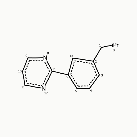 CC(C)Cc1cccc(-c2ncccn2)c1